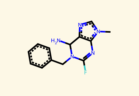 Cn1cnc2c1N=C(F)N(Cc1ccccc1)C2N